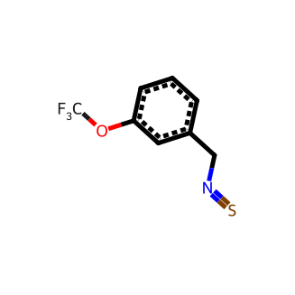 FC(F)(F)Oc1cccc(CN=S)c1